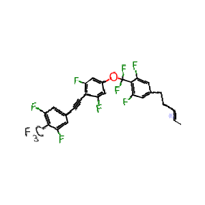 C/C=C/CCc1cc(F)c(C(F)(F)Oc2cc(F)c(C#Cc3cc(F)c(C(F)(F)F)c(F)c3)c(F)c2)c(F)c1